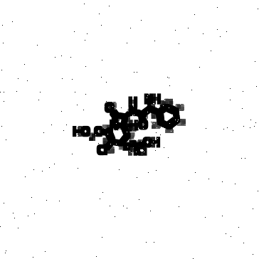 CCCO.Cl.N[C@@H](C(=O)N[C@@H]1C(=O)N2C(C(=O)O)=C(Cl)CC[C@H]12)c1ccccc1